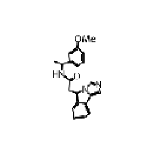 COc1cccc(C(C)NC(=O)CC2c3ccccc3-c3cncn32)c1